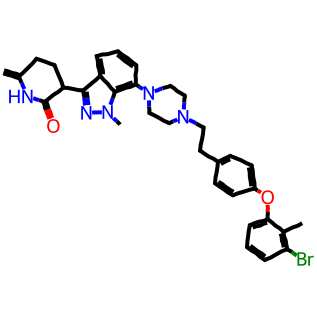 C=C1CCC(c2nn(C)c3c(N4CCN(CCc5ccc(Oc6cccc(Br)c6C)cc5)CC4)cccc23)C(=O)N1